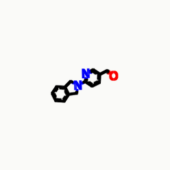 O=Cc1ccc(N2Cc3ccccc3C2)nc1